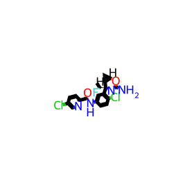 CC(F)[C@@]1(c2cc(NC(=O)c3ccc(Cl)cn3)ccc2Cl)N=C(N)O[C@H]2C[C@H]21